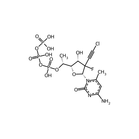 Cc1cc(N)nc(=O)n1[C@@H]1O[C@H]([C@@H](C)OP(=O)(O)OP(=O)(O)OP(=O)(O)O)[C@H](O)C1(F)C#CCl